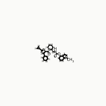 Cn1ccc2c(OC(=O)NC[C@@H]3CCCCN3C(=O)c3nc(C4CC4)sc3-c3ccccc3)cccc21